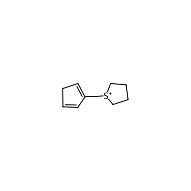 C1=CC([S+]2CCCC2)=CC1